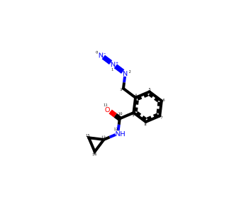 [N-]=[N+]=NCc1ccccc1C(=O)NC1CC1